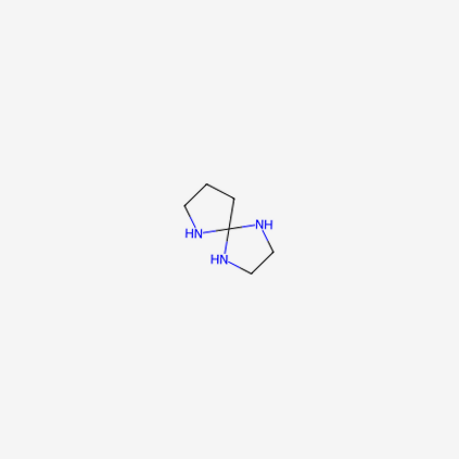 C1CNC2(C1)NCCN2